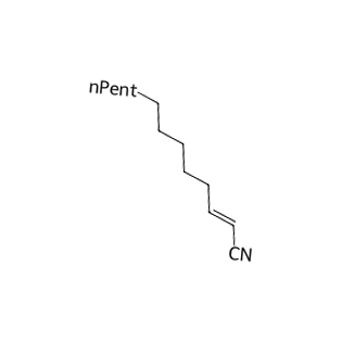 CCCCCCCCCCC=CC#N